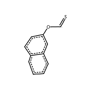 S=[C]Oc1ccc2ccccc2c1